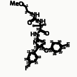 COCCNC(=O)NC(C)(C)C(=O)Nc1nc(-c2ccc(F)cc2)c(Oc2ccc(F)cc2)s1